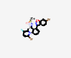 CC(C)(C)[S@+]([O-])N[C@@H](Cc1nc(Br)ccc1F)c1ccccc1-c1noc2cc(Br)ccc12